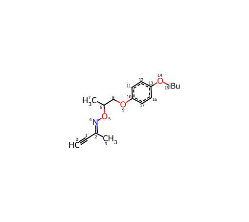 C#C/C(C)=N/OC(C)COc1ccc(OC(C)CC)cc1